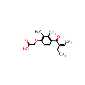 C/C=C(/CC)C(=O)c1ccc(OCC(=O)O)c(C)c1C